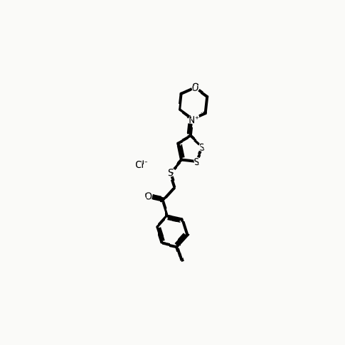 Cc1ccc(C(=O)CSc2cc(=[N+]3CCOCC3)ss2)cc1.[Cl-]